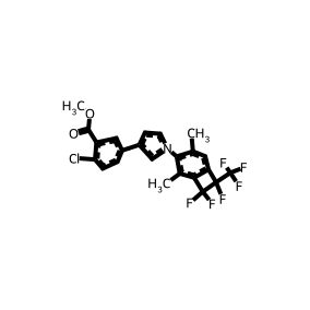 COC(=O)c1cc(-c2ccn(-c3c(C)cc4c(c3C)C(F)(F)C4(F)C(F)(F)F)c2)ccc1Cl